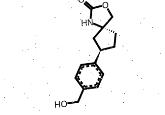 O=C1N[C@@]2(CC[C@@H](c3ccc(CO)cc3)C2)CO1